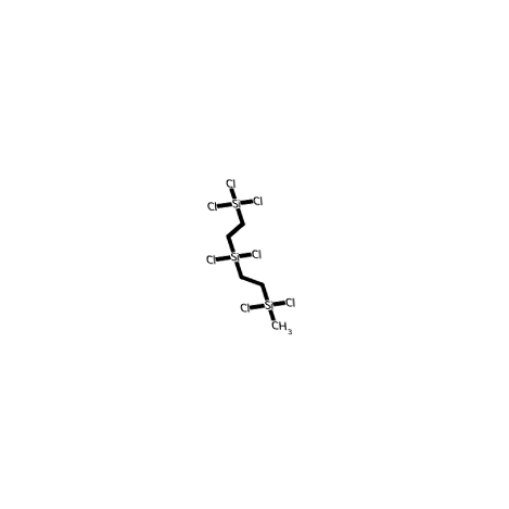 C[Si](Cl)(Cl)CC[Si](Cl)(Cl)CC[Si](Cl)(Cl)Cl